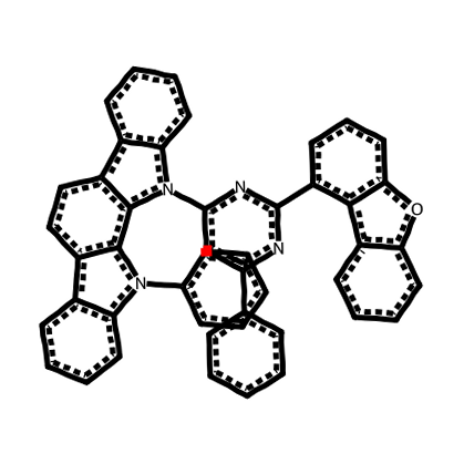 c1ccc(-c2cc(-n3c4ccccc4c4ccc5c6ccccc6n(-c6ccccc6)c5c43)nc(-c3cccc4oc5ccccc5c34)n2)cc1